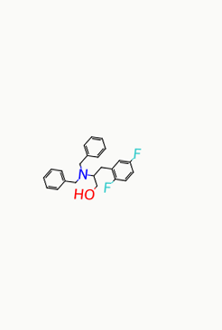 OCC(Cc1cc(F)ccc1F)N(Cc1ccccc1)Cc1ccccc1